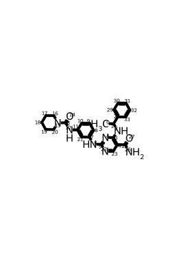 CC(Nc1nc(Nc2cccc(NC(=O)N3CCCCC3)c2)ncc1C(N)=O)c1ccccc1